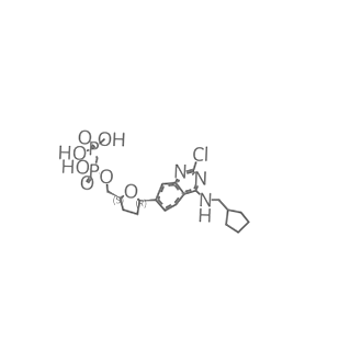 O=P(O)(O)CP(=O)(O)OC[C@@H]1CC[C@H](c2ccc3c(NCC4CCCC4)nc(Cl)nc3c2)O1